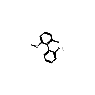 COc1cccc(Br)c1-c1ccccc1N